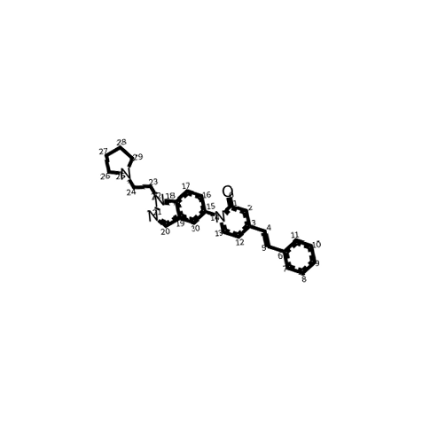 O=c1cc(C=Cc2ccccc2)ccn1-c1ccc2c(cnn2CCN2CCCC2)c1